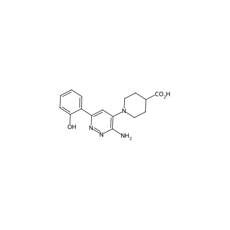 Nc1nnc(-c2ccccc2O)cc1N1CCC(C(=O)O)CC1